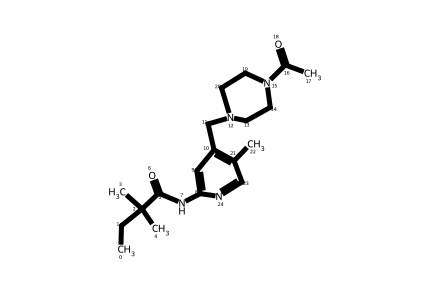 CCC(C)(C)C(=O)Nc1cc(CN2CCN(C(C)=O)CC2)c(C)cn1